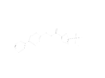 CC(C)(O)c1cc(C(=O)NCc2ccc(-c3ccccc3)nn2)on1